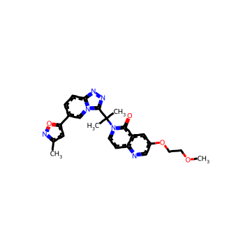 COCCOc1cnc2ccn(C(C)(C)c3nnc4ccc(-c5cc(C)no5)cn34)c(=O)c2c1